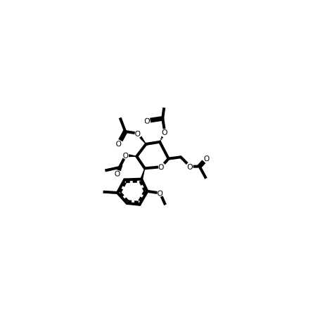 COc1ccc(C)cc1[C@@H]1OC(COC(C)=O)[C@@H](OC(C)=O)[C@H](OC(C)=O)[C@@H]1OC(C)=O